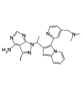 CC(c1cc2ccccn2c1-c1cc(CN(C)C)ccn1)n1nc(I)c2c(N)ncnc21